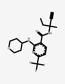 C#CC(C)(CC)NC(=O)c1ccc(C(F)(F)F)nc1NC1CCOCC1